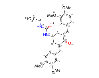 CCOC(=O)CNC(=O)NC1C/C(=C\c2ccc(OC)c(OC)c2)C(=O)/C(=C/c2ccc(OC)c(OC)c2)C1